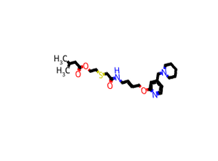 CC(C)CC(=O)OCCSCC(=O)NCC=CCOc1cc(CN2CCCCC2)ccn1